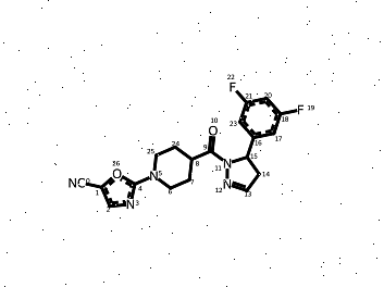 N#Cc1cnc(N2CCC(C(=O)N3N=CCC3c3cc(F)cc(F)c3)CC2)o1